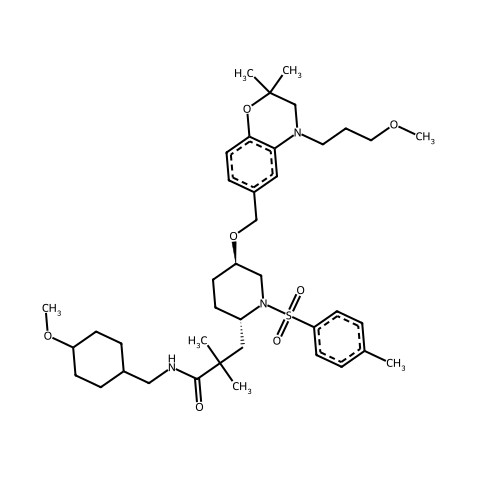 COCCCN1CC(C)(C)Oc2ccc(CO[C@@H]3CC[C@@H](CC(C)(C)C(=O)NCC4CCC(OC)CC4)N(S(=O)(=O)c4ccc(C)cc4)C3)cc21